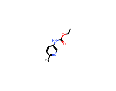 [2H]c1ccc(NC(=O)OCC)cn1